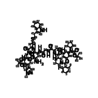 Cc1cccc(F)c1C(=O)N1CCC[C@H](C(=O)NC(CO)C(=O)NCC(=O)NC(CC(N)=O)C(=O)N[C@@H](CCSCCc2c[nH]c3ccccc23)C(=O)NC[C@H]2OC[C@@H](c3cnn(C)c3)[C@H]3OC(C)(C)O[C@H]32)[C@@H]1c1ccc(N(C(=O)OC(C)(C)C)C2CCCC2)cc1